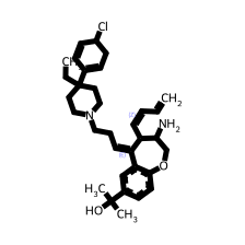 C=C/C=C\C1/C(=C\CCN2CCC(CC)(C3=CCC(Cl)C=C3)CC2)c2cc(C(C)(C)O)ccc2OCC1N